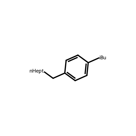 CCCCCCCCc1ccc(C(C)CC)cc1